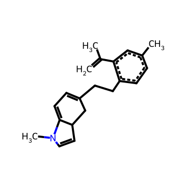 C=C(C)c1cc(C)ccc1CCC1=CC=C2C(C=CN2C)C1